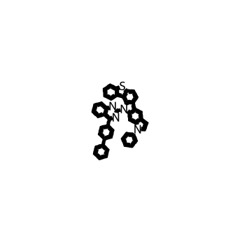 c1ccc(-c2ccc(-c3nc(-n4c5cc6c(ccn6-c6ccccc6)cc5c5ccc6sc7ccccc7c6c54)nc4ccccc34)cc2)cc1